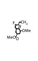 C=Cc1nc2c(OC)cc(C(=O)OC)cc2cc1F